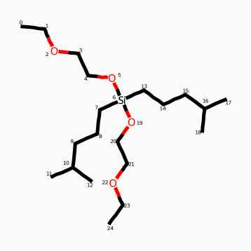 CCOCCO[Si](CCCC(C)C)(CCCC(C)C)OCCOCC